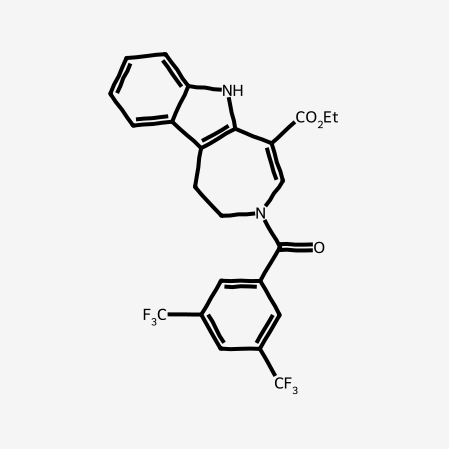 CCOC(=O)C1=CN(C(=O)c2cc(C(F)(F)F)cc(C(F)(F)F)c2)CCc2c1[nH]c1ccccc21